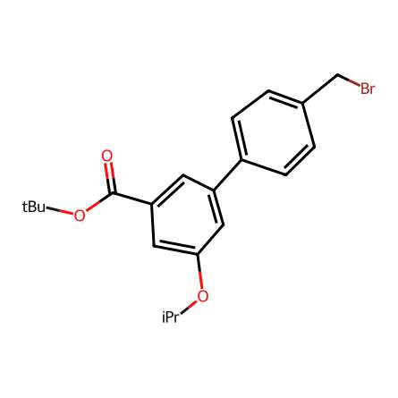 CC(C)Oc1cc(C(=O)OC(C)(C)C)cc(-c2ccc(CBr)cc2)c1